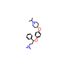 CC(C)N1CCC(Oc2ccc(OC(CCN(C)C)c3ccccc3)cc2)CC1